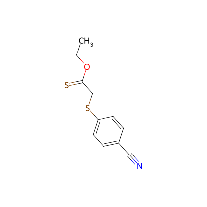 CCOC(=S)CSc1ccc(C#N)cc1